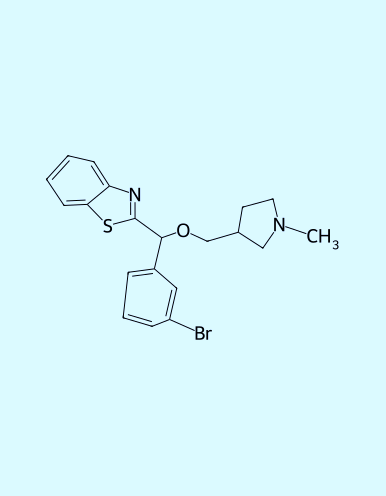 CN1CCC(COC(c2cccc(Br)c2)c2nc3ccccc3s2)C1